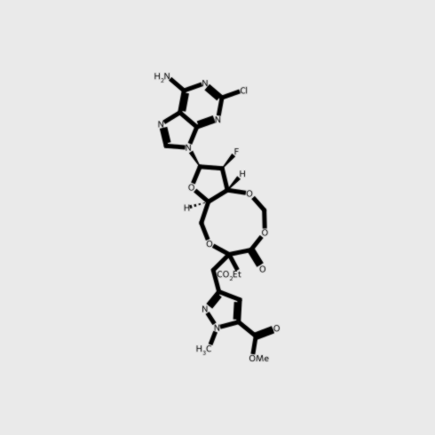 CCOC(=O)C1(Cc2cc(C(=O)OC)n(C)n2)OC[C@H]2O[C@@H](n3cnc4c(N)nc(Cl)nc43)[C@@H](F)[C@@H]2OCOC1=O